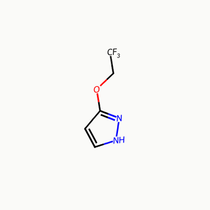 FC(F)(F)COc1cc[nH]n1